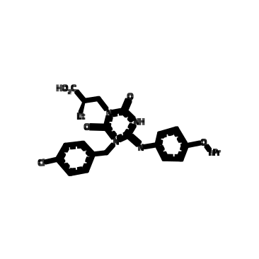 CCCOc1ccc(/N=c2\[nH]c(=O)n(C[C@@H](CC)C(=O)O)c(=O)n2Cc2ccc(Cl)cc2)cc1